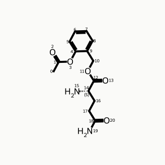 CC(=O)Oc1ccccc1COC(=O)[C@@H](N)CCC(N)=O